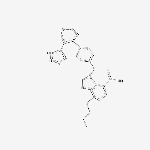 CCCOc1ccc(C(=O)O)c2c1ncn2Cc1ccc(-c2ccccc2-c2nnn[nH]2)cc1